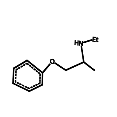 CCNC(C)COc1ccccc1